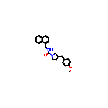 COc1ccc(CC2CCN(C(=O)NCc3cccc4ccccc34)C2)cc1